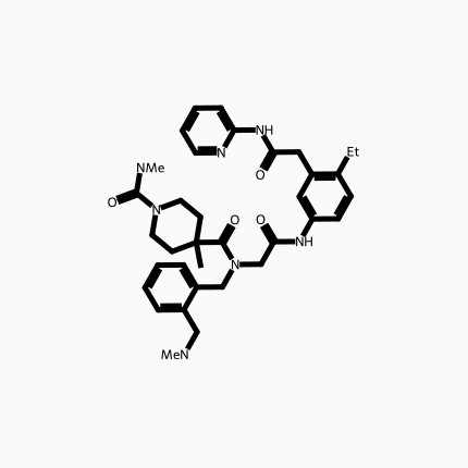 CCc1ccc(NC(=O)CN(Cc2ccccc2CNC)C(=O)C2(C)CCN(C(=O)NC)CC2)cc1CC(=O)Nc1ccccn1